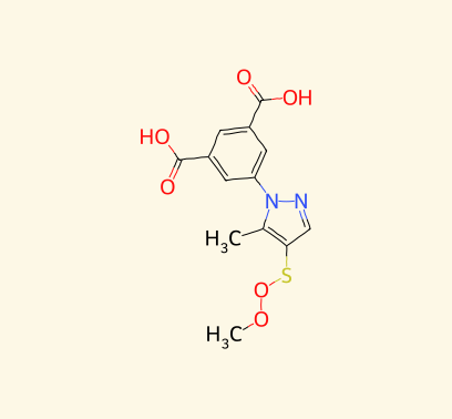 COOSc1cnn(-c2cc(C(=O)O)cc(C(=O)O)c2)c1C